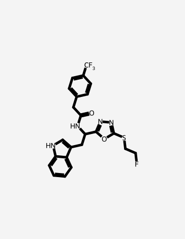 O=C(Cc1ccc(C(F)(F)F)cc1)NC(Cc1c[nH]c2ccccc12)c1nnc(SCCF)o1